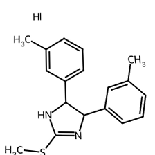 CSC1=NC(c2cccc(C)c2)C(c2cccc(C)c2)N1.I